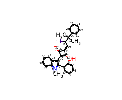 Cn1c(-c2ccccc2)c(C2=C(O)/C(=C/C(I)C(C)(C)c3ccccc3)C2=O)c2ccccc21